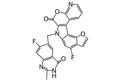 Cc1nc2cc(F)c(Cn3c4cc(F)c5ccoc5c4c4c5cccnc5oc(=O)c43)cc2c(=O)[nH]1